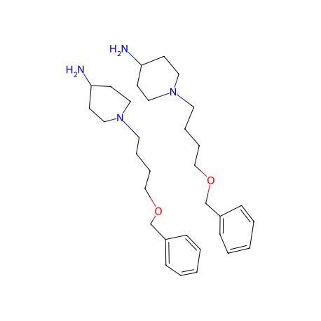 NC1CCN(CCCCOCc2ccccc2)CC1.NC1CCN(CCCCOCc2ccccc2)CC1